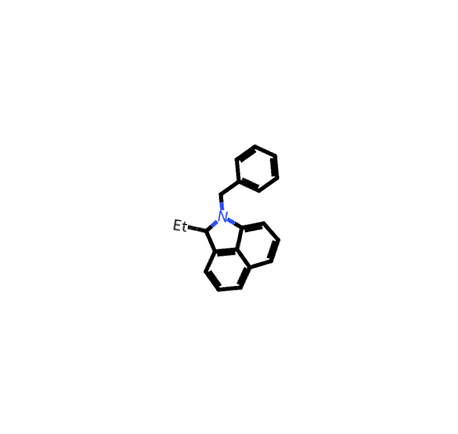 CCC1c2cccc3cccc(c23)N1Cc1ccccc1